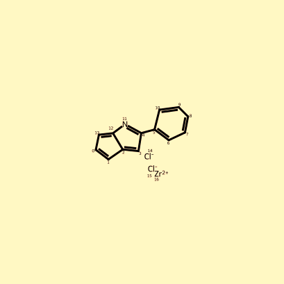 C1=CC2=CC(c3ccccc3)=NC2=C1.[Cl-].[Cl-].[Zr+2]